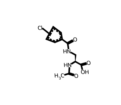 CC(=O)N[C@@H](CNC(=O)c1ccc(Cl)cc1)C(=O)O